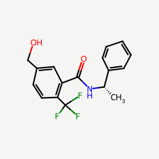 C[C@H](NC(=O)c1cc(CO)ccc1C(F)(F)F)c1ccccc1